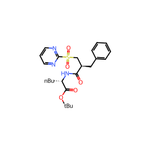 CCCC[C@H](NC(=O)[C@H](Cc1ccccc1)CS(=O)(=O)c1ncccn1)C(=O)OC(C)(C)C